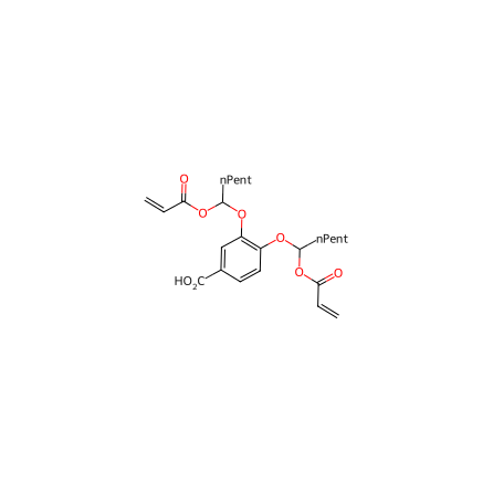 C=CC(=O)OC(CCCCC)Oc1ccc(C(=O)O)cc1OC(CCCCC)OC(=O)C=C